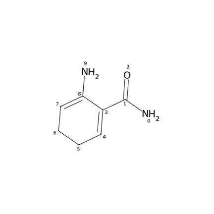 NC(=O)C1=CCCC=C1N